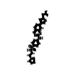 CC(C)Cn1cc(-c2ccc3cnc(Nc4ccc(S(=O)(=O)NCCN5CCCC5)cc4)nc3c2)cn1